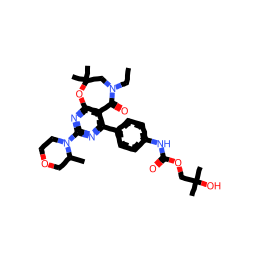 CCN1CC(C)(C)Oc2nc(N3CCOCC3C)nc(-c3ccc(NC(=O)OCC(C)(C)O)cc3)c2C1=O